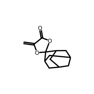 C=C1OC2(OC1=O)C1CC3CC(C1)CC2C3